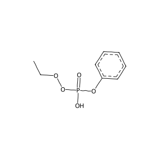 CCOOP(=O)(O)Oc1ccccc1